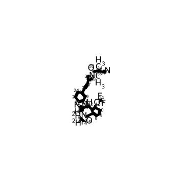 [2H]C([2H])([2H])N1C(=O)c2cccc(OC(F)F)c2[C@H]2C[C@@H]1c1nc3ccc(C#CC4CN(C(=O)C(C)(C)C#N)C4)cc3n12